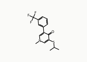 CC(C)Sc1cn(C)cc(-c2cccc(C(F)(F)F)c2)c1=O